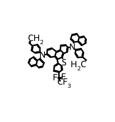 C=Cc1ccc(N(c2ccc3c4ccc(N(c5ccc(C=C)cc5)c5cccc6ccccc56)cc4c4c5ccc(C(F)(F)C(F)(F)F)cc5sc4c3c2)c2cccc3ccccc23)cc1